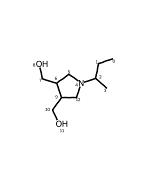 CCC(C)N1CC(CO)C(CO)C1